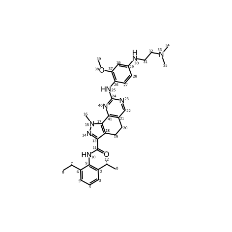 CCc1cccc(CC)c1NC(=O)c1nn(C)c2c1CCc1cnc(Nc3ccc(NCCN(C)C)cc3OC)nc1-2